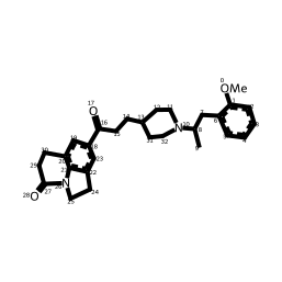 COc1ccccc1CC(C)N1CCC(CCC(=O)c2cc3c4c(c2)CCN4C(=O)CC3)CC1